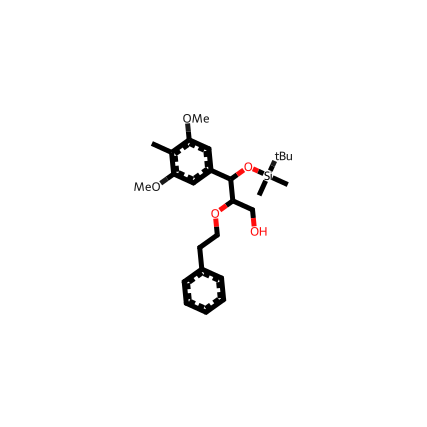 COc1cc(C(O[Si](C)(C)C(C)(C)C)C(CO)OCCc2ccccc2)cc(OC)c1C